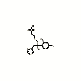 CS(=O)(=O)CCSCC(O)(Cn1cncn1)c1ccc(Cl)cc1Cl